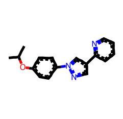 CC(C)Oc1ccc(-n2cc(-c3ccccn3)cn2)cc1